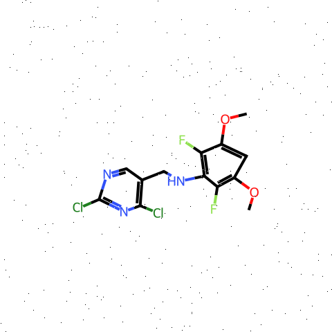 COc1cc(OC)c(F)c(NCc2cnc(Cl)nc2Cl)c1F